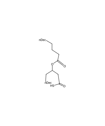 CCCCCCCCCCCCCC(=O)OC(CCCCCCCCCCC)CC(=O)S